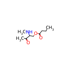 CCCC(=O)OCC(NC)C(C)=O